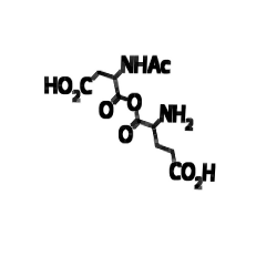 CC(=O)NC(CC(=O)O)C(=O)OC(=O)C(N)CCC(=O)O